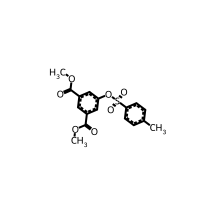 COC(=O)c1cc(OS(=O)(=O)c2ccc(C)cc2)cc(C(=O)OC)c1